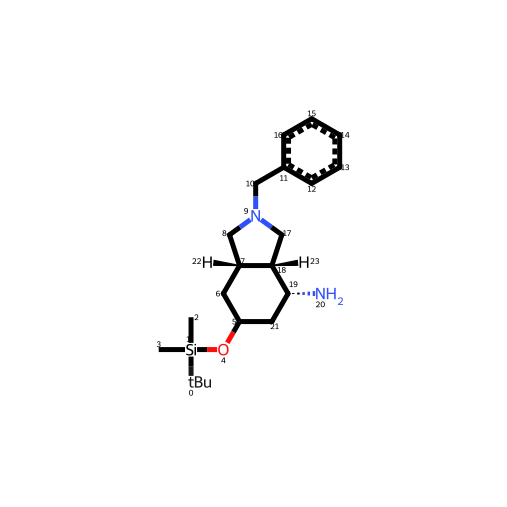 CC(C)(C)[Si](C)(C)OC1C[C@@H]2CN(Cc3ccccc3)C[C@@H]2[C@H](N)C1